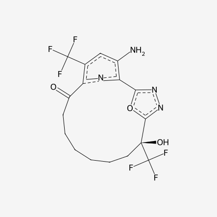 Nc1cc(C(F)(F)F)c2nc1-c1nnc(o1)[C@](O)(C(F)(F)F)CCCCCCC2=O